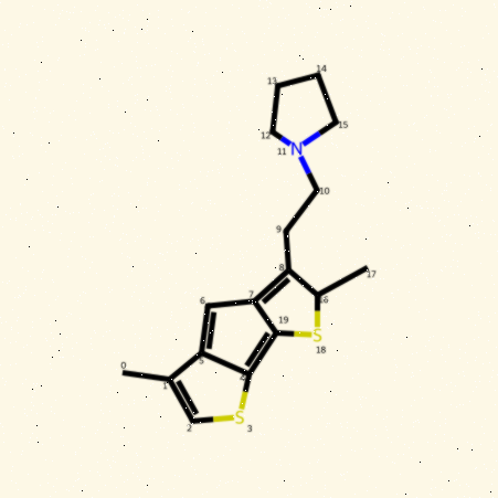 Cc1csc2c1=CC1=C(CCN3CCCC3)C(C)SC=21